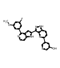 COc1cc(F)cc(-c2nccc3[nH]c(-c4n[nH]c5ccc(-c6cncc(O)c6)nc45)cc23)c1